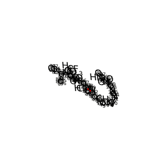 C[C@@]1(CN2CCC(CN3CCC(CN4CCN(c5ccc6c(c5)CN(C5CCC(=O)NC5=O)C6=O)CC4)CC3)CC2)CCC(c2ccc(Cl)cc2)=C(CN2CCN(c3ccc(C(=O)NS(=O)(=O)c4ccc(N[C@H](CCN5CCCOCC5)CSc5ccccc5)c(S(=O)(=O)C(F)(F)F)c4)cc3)CC2)C1